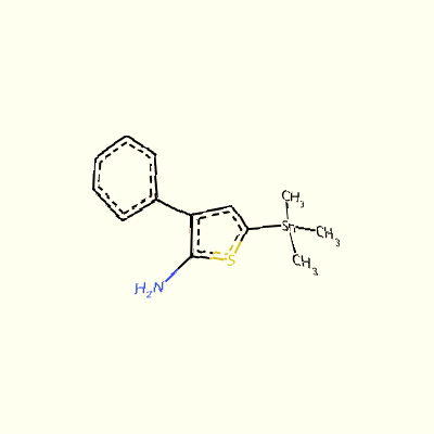 [CH3][Sn]([CH3])([CH3])[c]1cc(-c2ccccc2)c(N)s1